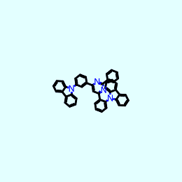 c1ccc(-c2nc(-c3cccc(-n4c5ccccc5c5ccccc54)c3)cc(-c3ccccc3-n3c4ccccc4c4ccccc43)n2)cc1